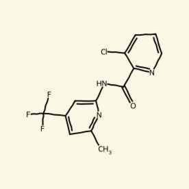 Cc1cc(C(F)(F)F)cc(NC(=O)c2ncccc2Cl)n1